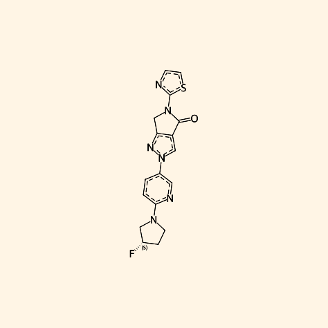 O=C1c2cn(-c3ccc(N4CC[C@H](F)C4)nc3)nc2CN1c1nccs1